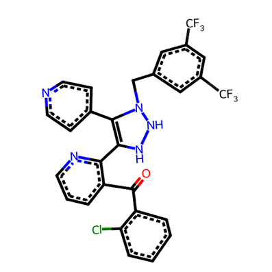 O=C(c1ccccc1Cl)c1cccnc1C1=C(c2ccncc2)N(Cc2cc(C(F)(F)F)cc(C(F)(F)F)c2)NN1